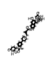 Cn1c(=O)n(C2CCC(=O)NC2=O)c2ccc(C3CCN(CC4CC4C(=O)Nc4ccc5c(F)c(N6CC(=O)NS6(O)O)c(O)cc5c4)CC3)cc21